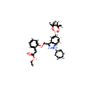 CCOC(=O)Cc1ccccc1OCc1nn(C2CCCCC2)c2ccc(B3OC(C)(C)C(C)(C)O3)cc12